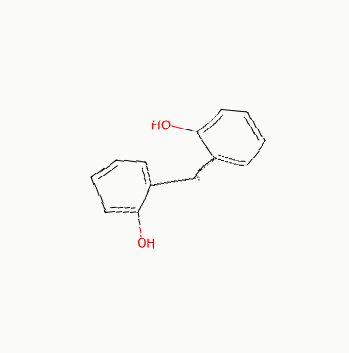 Oc1ccccc1[C]c1ccccc1O